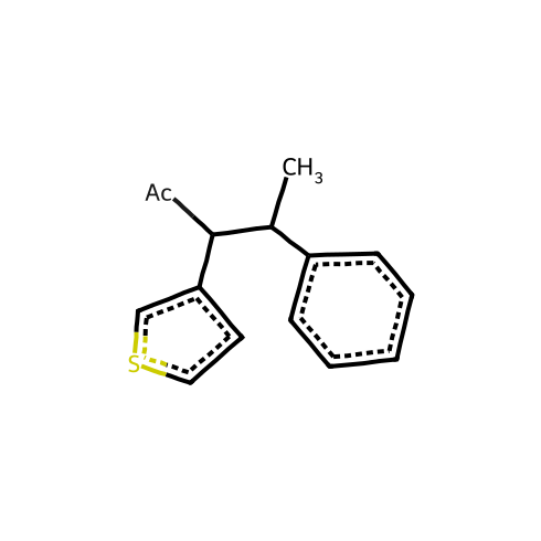 CC(=O)C(c1ccsc1)C(C)c1ccccc1